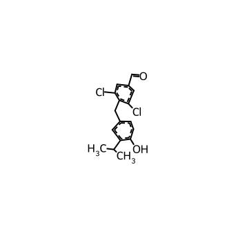 CC(C)c1cc(Cc2c(Cl)cc(C=O)cc2Cl)ccc1O